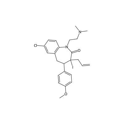 C=CCC1(I)C(=O)N(CCN(C)C)c2ccc(Cl)cc2CC1c1ccc(OC)cc1